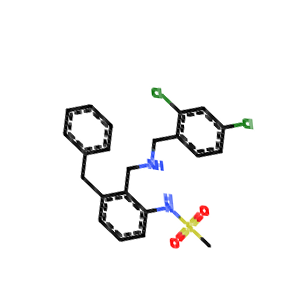 CS(=O)(=O)Nc1cccc(Cc2ccccc2)c1CNCc1ccc(Cl)cc1Cl